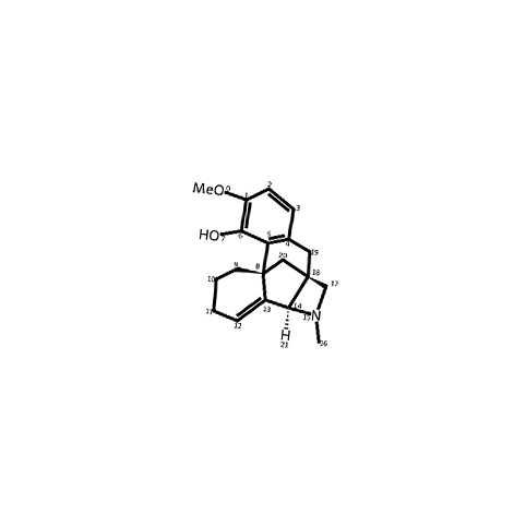 COc1ccc2c(c1O)[C@@]13CCCC=C1[C@@H]1N(C)C[C@]1(C2)C3